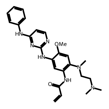 C=CC(=O)Nc1cc(Nc2nccc(Nc3ccccc3)n2)c(OC)cc1N(C)CCN(C)C